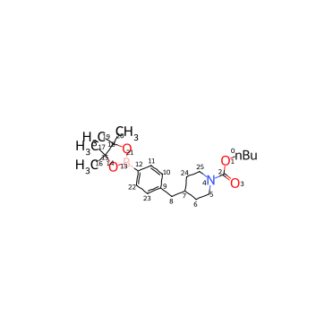 CCCCOC(=O)N1CCC(Cc2ccc(B3OC(C)(C)C(C)(C)O3)cc2)CC1